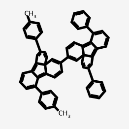 Cc1ccc(C2=CC3=c4cccc(-c5ccc(C)cc5)c4=C4C=CC(C5=CC67C=CC(c8ccccc8)=CC6=c6cccc(-c8ccccc8)c6=C7C=C5)=CC34C=C2)cc1